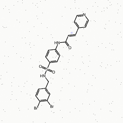 O=C(/C=C/c1ccncc1)Nc1ccc(S(=O)(=O)NCc2ccc(Br)c(Br)c2)cc1